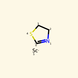 [C]1=NCCS1.[Sc]